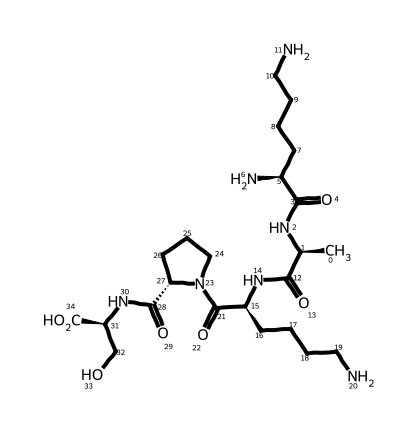 C[C@H](NC(=O)[C@@H](N)CCCCN)C(=O)N[C@@H](CCCCN)C(=O)N1CCC[C@H]1C(=O)N[C@@H](CO)C(=O)O